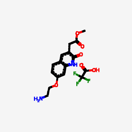 COC(=O)Cc1cc2ccc(OCCN)cc2[nH]c1=O.O=C(O)C(F)(F)F